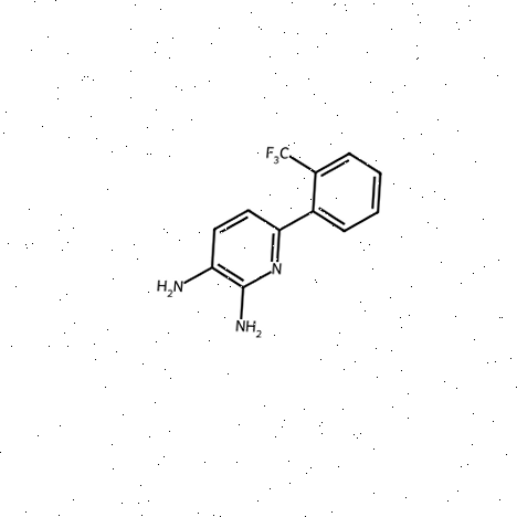 Nc1ccc(-c2ccccc2C(F)(F)F)nc1N